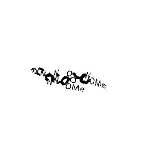 COc1ccc(C2COc3cc(Cn4cnc5cc(N6CCN(C)CC6)cnc54)cc(OC)c3O2)cn1